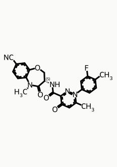 Cc1ccc(-n2nc(C(=O)N[C@H]3COc4cc(C#N)ccc4N(C)C3=O)c(=O)cc2C)cc1F